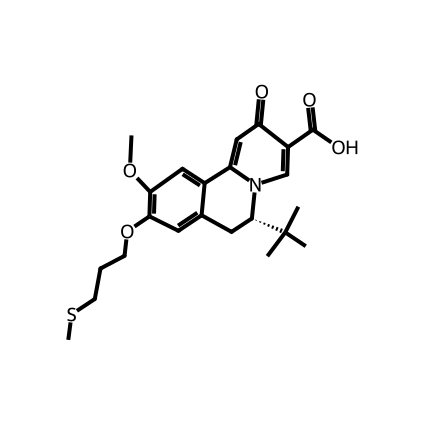 COc1cc2c(cc1OCCCSC)C[C@@H](C(C)(C)C)n1cc(C(=O)O)c(=O)cc1-2